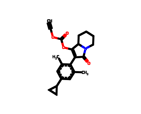 C#COC(=O)OC1=C(c2c(C)cc(C3CC3)cc2C)C(=O)N2CCCCC12